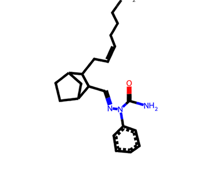 NC(=O)N(N=CC1C2CCC(C2)C1C/C=C\CCCC(=O)O)c1ccccc1